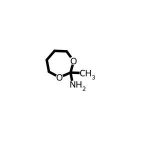 CC1(N)OCCCCO1